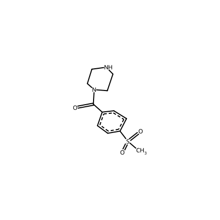 CS(=O)(=O)c1ccc(C(=O)N2CCNCC2)cc1